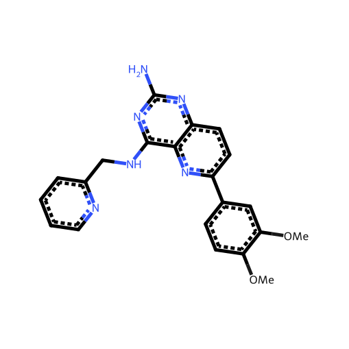 COc1ccc(-c2ccc3nc(N)nc(NCc4ccccn4)c3n2)cc1OC